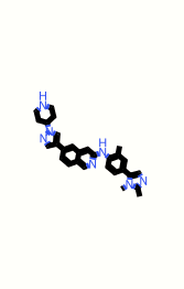 Cc1cc(-c2cnc(C)n2C)ccc1Nc1cc2cc(-c3cnn(C4CCNCC4)c3)ccc2cn1